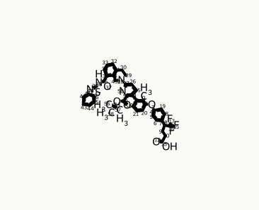 Cc1c(Oc2ccc(C(CCC(=O)O)C(F)(F)F)cc2)cccc1-c1ccc(N2CCc3cccc(C(=O)Nc4nc5ccccc5s4)c3C2)nc1C(=O)OC(C)(C)C